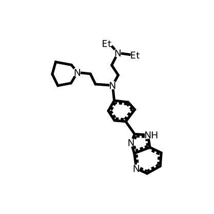 CCN(CC)CCN(CCN1CCCCC1)c1ccc(-c2nc3ncccc3[nH]2)cc1